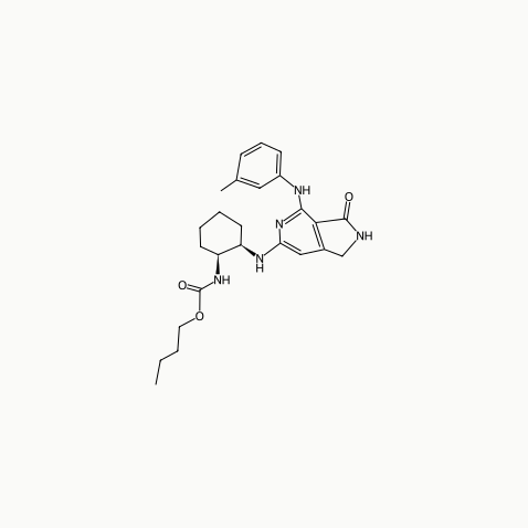 CCCCOC(=O)N[C@H]1CCCC[C@H]1Nc1cc2c(c(Nc3cccc(C)c3)n1)C(=O)NC2